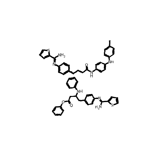 Cc1ccc(Nc2ccc(NC(=O)CCCc3ccc(N=C(N)c4cccs4)cc3)cc2)cc1.NC(=Nc1ccc(CC(CC(=O)Oc2ccccc2)Nc2ccccc2)cc1)c1cccs1